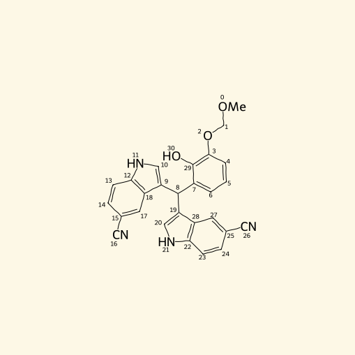 COCOc1cccc(C(c2c[nH]c3ccc(C#N)cc23)c2c[nH]c3ccc(C#N)cc23)c1O